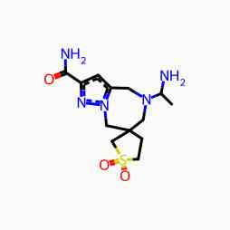 CC(N)N1Cc2cc(C(N)=O)nn2CC2(CCS(=O)(=O)C2)C1